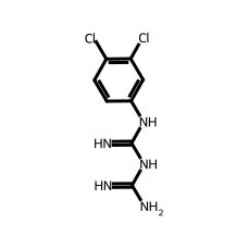 N=C(N)NC(=N)Nc1ccc(Cl)c(Cl)c1